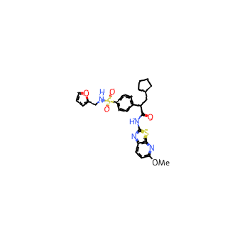 COc1ccc2nc(NC(=O)C(CC3CCCC3)c3ccc(S(=O)(=O)NCc4ccco4)cc3)sc2n1